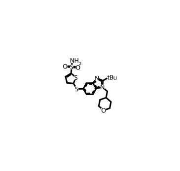 CC(C)(C)c1nc2cc(SC3CC=C(S(N)(=O)=O)S3)ccc2n1CC1CCOCC1